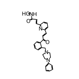 O=C(C=Cc1cccc(C=CC(=O)c2ccccc2CN2CCN(c3ccccc3)CC2)n1)NO